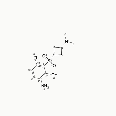 CN(C)C1CC(S(=O)(=O)c2c(Cl)ccc(N)c2O)C1